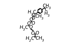 C=C(C)C(=O)OCCOC(C)OC(=O)OOOC(C)(C)c1ccc(C(C)C)cc1